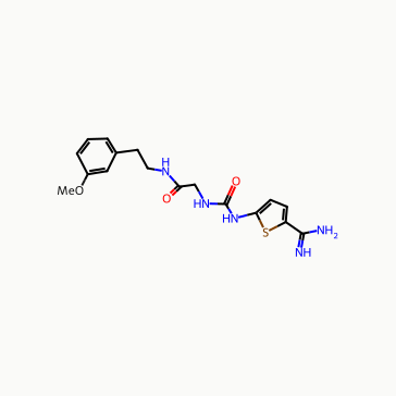 COc1cccc(CCNC(=O)CNC(=O)Nc2ccc(C(=N)N)s2)c1